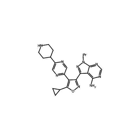 CC(C)n1nc(-c2noc(C3CC3)c2-c2cnc(C3CCNCC3)cn2)c2c(N)ncnc21